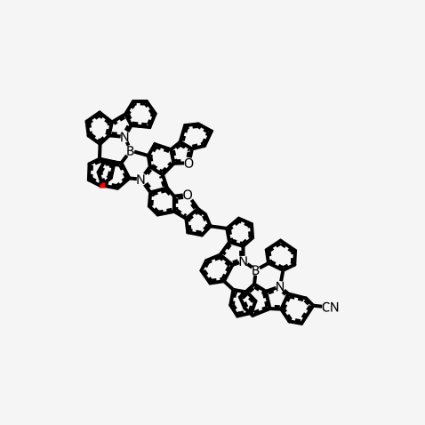 N#Cc1ccc2c3cccc4c3n(c2c1)-c1ccccc1B4n1c2cccc(-c3ccc4c(c3)oc3c4ccc4c3c3c5oc6ccccc6c5cc5c3n4-c3ccccc3B5n3c4ccccc4c4cccc(-c5ccccc5)c43)c2c2cccc(-c3ccccc3)c21